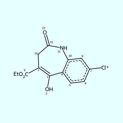 CCOC(=O)C1=C(O)c2ccc(Cl)cc2NC(=O)C1